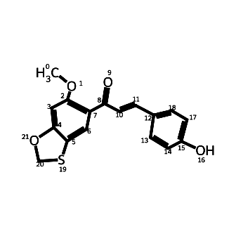 COc1cc2c(cc1C(=O)C=Cc1ccc(O)cc1)SCO2